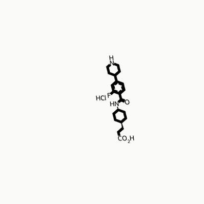 Cl.O=C(O)CC[C@H]1CC[C@H](NC(=O)c2ccc(C3CCNCC3)cc2F)CC1